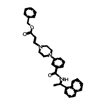 CC(NC(=O)c1cccc(N2CCN(CCC(=O)OCc3ccccc3)CC2)c1)c1cccc2ccccc12